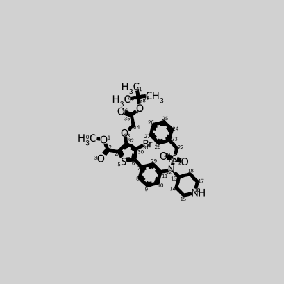 COC(=O)c1sc(-c2cccc(N(C3CCNCC3)S(=O)(=O)Cc3ccccc3)c2)c(Br)c1OCC(=O)OC(C)(C)C